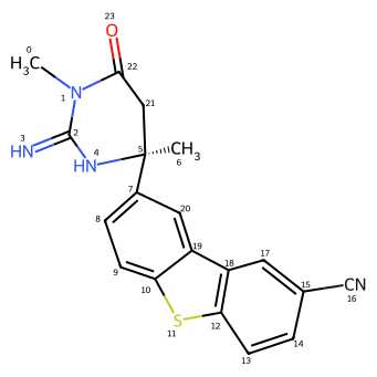 CN1C(=N)N[C@](C)(c2ccc3sc4ccc(C#N)cc4c3c2)CC1=O